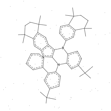 CC(C)(C)c1ccc(N2c3cc(C(C)(C)C)ccc3B(c3ccc4c(c3)C(C)(C)CCC4(C)C)c3c2sc2cc4c(cc32)C(C)(C)CCC4(C)C)c(-c2ccccc2)c1